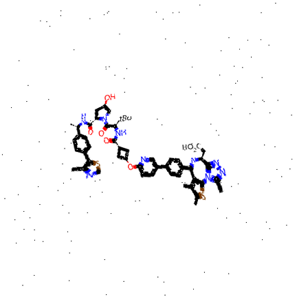 Cc1ncsc1-c1ccc([C@H](C)NC(=O)[C@@H]2C[C@@H](O)CN2C(=O)[C@@H](NC(=O)[C@H]2C[C@@H](Oc3ccc(-c4ccc(C5=N[C@@H](CC(=O)O)c6nnc(C)n6-c6sc(C)c(C)c65)cc4)cn3)C2)C(C)(C)C)cc1